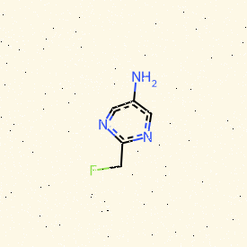 Nc1cnc(CF)nc1